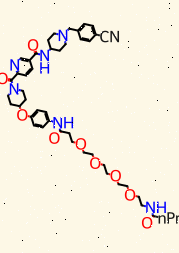 CCCC(=O)NCCOCCOCCOCCOCCC(=O)Nc1ccc(OC2CCN(C(=O)c3ccc(C(=O)NC4CCN(Cc5ccc(C#N)cc5)CC4)cn3)CC2)cc1